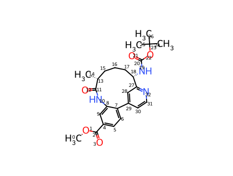 COC(=O)c1ccc2c(c1)NC(=O)[C@H](C)CCC[C@H](NC(=O)OC(C)(C)C)c1cc-2ccn1